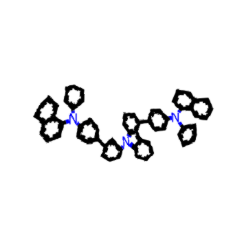 c1ccc(N(c2ccc(-c3cccc(-n4c5ccccc5c5c(-c6ccc(N(c7ccccc7)c7cccc8ccccc78)cc6)cccc54)c3)cc2)c2cccc3ccccc23)cc1